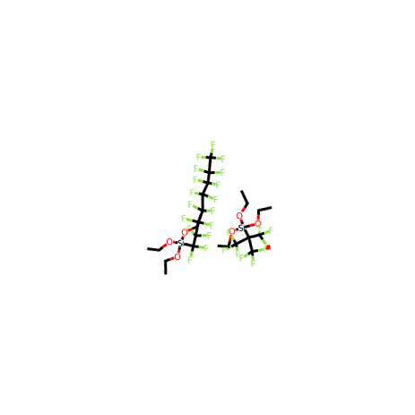 CCO[Si](OCC)(OCC)C(C(F)(F)F)(C(F)(F)F)C(F)(F)F.CCO[Si](OCC)(OCC)C(F)(F)C(F)(F)C(F)(F)C(F)(F)C(F)(F)C(F)(F)C(F)(F)C(F)(F)F